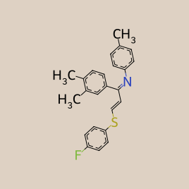 Cc1ccc(/N=C(/C=C/Sc2ccc(F)cc2)c2ccc(C)c(C)c2)cc1